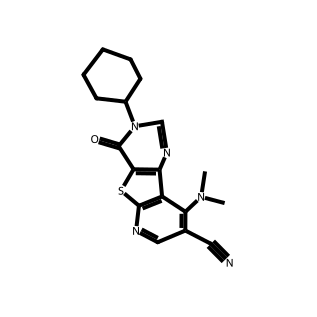 CN(C)c1c(C#N)cnc2sc3c(=O)n(C4CCCCC4)cnc3c12